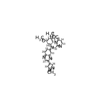 COc1cc(OC)cc(N(Cc2nccc(C)n2)c2ccc3ncc(-c4cnn(C)c4)nc3c2)c1